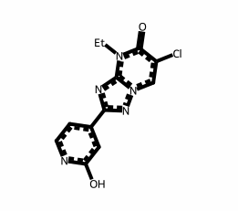 CCn1c(=O)c(Cl)cn2nc(-c3ccnc(O)c3)nc12